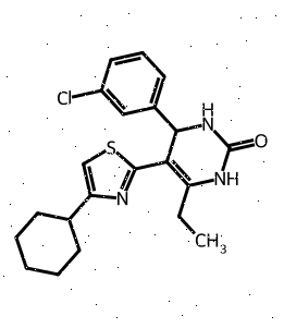 CCC1=C(c2nc(C3CCCCC3)cs2)C(c2cccc(Cl)c2)NC(=O)N1